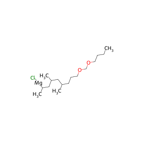 CCCCOCOCCCC(C)CC(C)C[CH](C)[Mg][Cl]